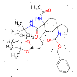 CC(=O)NC1(C(=O)NC(C)(C)C)CCC2(CCCN2C(=O)OCc2ccccc2)CC1CCCB1OC(C)(C)C(C)(C)O1